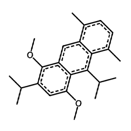 COc1c(C(C)C)cc(OC)c2c(C(C)C)c3c(C)ccc(C)c3cc12